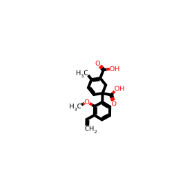 C=Cc1cccc(C2(C(=O)O)C=CC(C)=C(C(=O)O)C2)c1OC